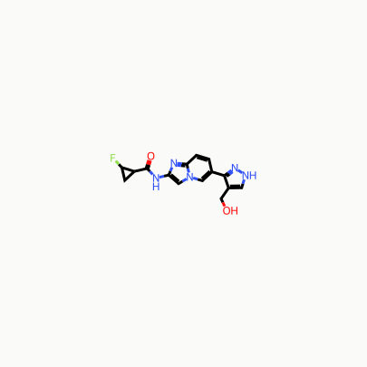 O=C(Nc1cn2cc(-c3n[nH]cc3CO)ccc2n1)C1CC1F